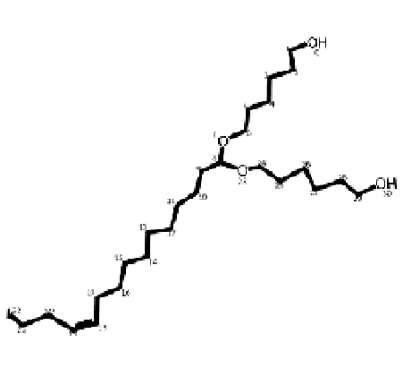 OCCCCCCOC(CCCCCCCCC/C=C\CCI)OCCCCCCO